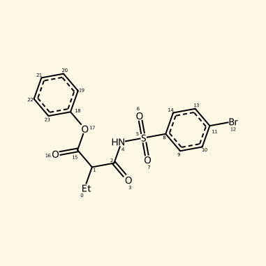 CCC(C(=O)NS(=O)(=O)c1ccc(Br)cc1)C(=O)Oc1ccccc1